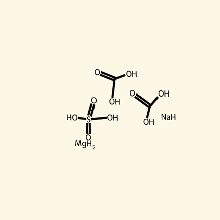 O=C(O)O.O=C(O)O.O=S(=O)(O)O.[MgH2].[NaH]